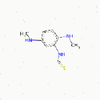 CNc1ccc(NC)c(NC=S)c1